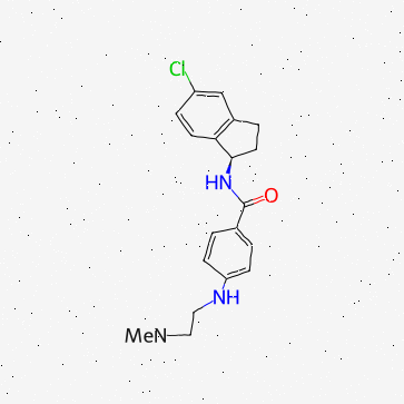 CNCCNc1ccc(C(=O)N[C@@H]2CCc3cc(Cl)ccc32)cc1